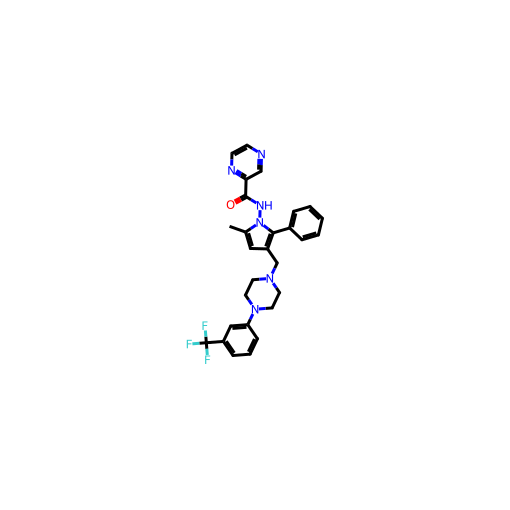 Cc1cc(CN2CCN(c3cccc(C(F)(F)F)c3)CC2)c(-c2ccccc2)n1NC(=O)c1cnccn1